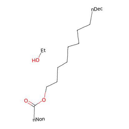 CCCCCCCCCCCCCCCCCCOC(=O)CCCCCCCCC.CCO